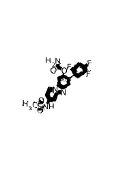 CS(=O)(=O)Nc1ccn2c3c(nc2c1)C[C@H](c1cc(F)c(F)cc1F)[C@H](OC(N)=O)C3